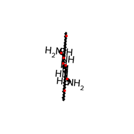 CCCCCCCCC=CCCCCCC(CCNCCCN1CCN(CCCNCCC(CCCCCC=CCCCCCCCC)CC(O)CN)CC1)CC(O)CN